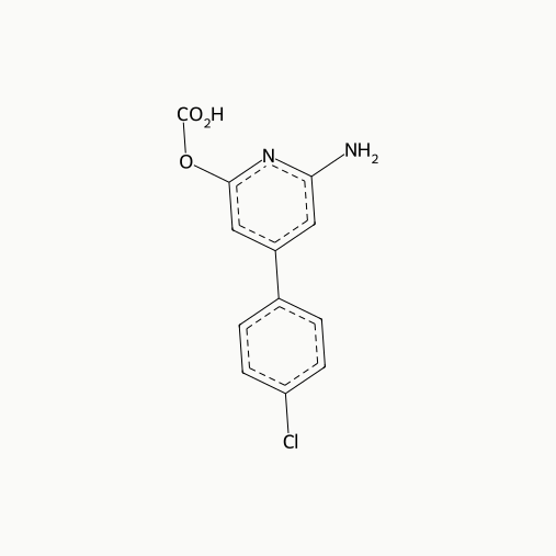 Nc1cc(-c2ccc(Cl)cc2)cc(OC(=O)O)n1